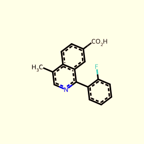 Cc1cnc(-c2ccccc2F)c2cc(C(=O)O)ccc12